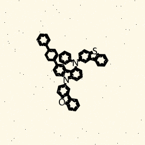 C1=C(c2ccccc2)CCC(c2ccc3c(c2)c2c(N(c4ccccc4)c4ccc5sc6ccccc6c5c4)cccc2n3-c2ccc3oc4ccccc4c3c2)=C1